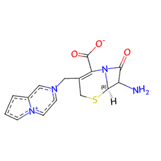 NC1C(=O)N2C(C(=O)[O-])=C(Cn3cc[n+]4cccc-4c3)CS[C@H]12